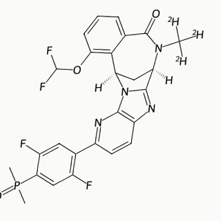 [2H]C([2H])([2H])N1C(=O)c2cccc(OC(F)F)c2[C@H]2C[C@@H]1c1nc3ccc(-c4cc(F)c(P(C)(C)=O)cc4F)nc3n12